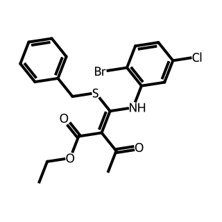 CCOC(=O)/C(C(C)=O)=C(/Nc1cc(Cl)ccc1Br)SCc1ccccc1